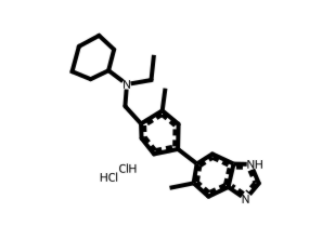 CCN(Cc1ccc(-c2cc3[nH]cnc3cc2C)cc1C)C1CCCCC1.Cl.Cl